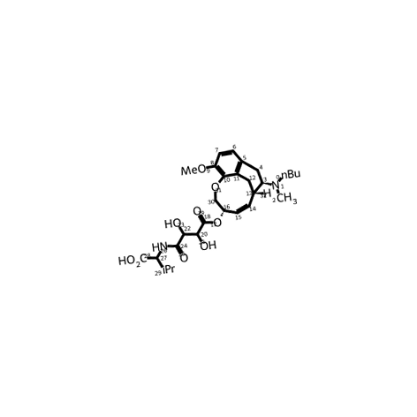 CCCCN(C)[C@@H]1Cc2ccc(OC)c3c2C[C@H]1/C=C\[C@H](OC(=O)C(O)C(O)C(=O)NC(C(=O)O)C(C)C)CO3